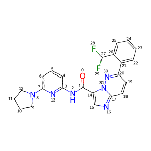 O=C(Nc1cccc(N2CCCC2)n1)c1cnc2ccc(-c3ccccc3C(F)F)nn12